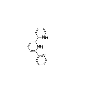 C1=CNC(C2C=CC=C(c3ccccn3)N2)C=C1